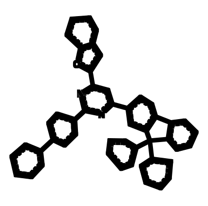 c1ccc(-c2ccc(-c3nc(-c4ccc5c(c4)C(c4ccccc4)(c4ccccc4)c4ccccc4-5)cc(-c4cc5ccccc5o4)n3)cc2)cc1